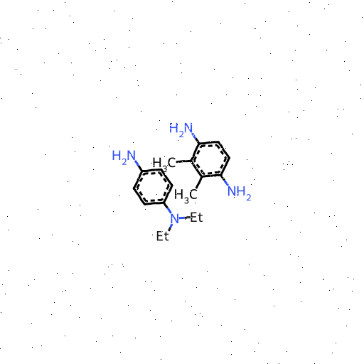 CCN(CC)c1ccc(N)cc1.Cc1c(N)ccc(N)c1C